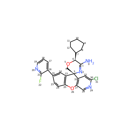 NC1=N[C@@]2(CO[C@H]1C1CCCCC1)c1cc(-c3cccnc3F)ccc1Oc1cnc(Cl)cc12